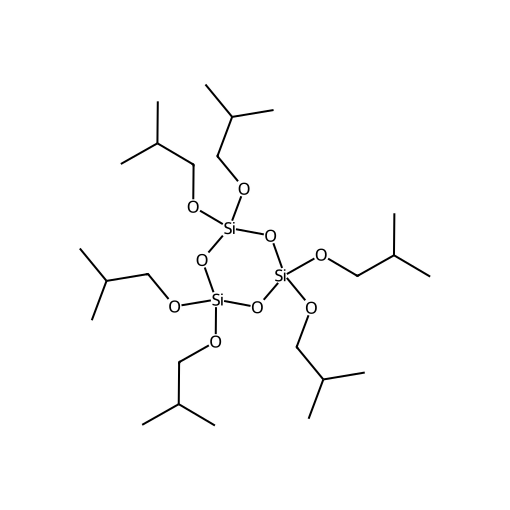 CC(C)CO[Si]1(OCC(C)C)O[Si](OCC(C)C)(OCC(C)C)O[Si](OCC(C)C)(OCC(C)C)O1